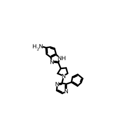 Nc1ccc2[nH]c(C3CCN(c4nccnc4-c4ccccc4)C3)nc2c1